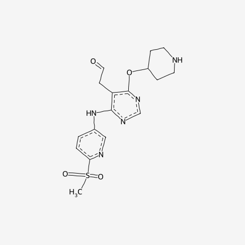 CS(=O)(=O)c1ccc(Nc2ncnc(OC3CCNCC3)c2CC=O)cn1